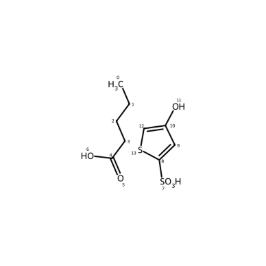 CCCCC(=O)O.O=S(=O)(O)c1cc(O)cs1